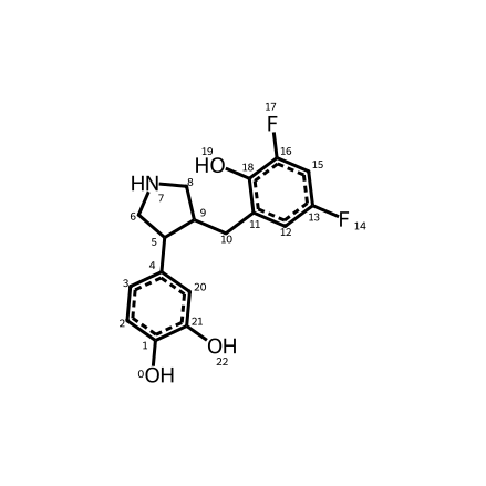 Oc1ccc(C2CNCC2Cc2cc(F)cc(F)c2O)cc1O